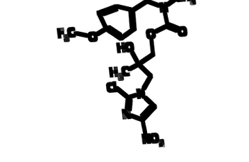 CN(Cc1ccc(OC(F)(F)F)cc1)C(=O)OCC(C)(O)Cn1cc([N+](=O)[O-])nc1Cl